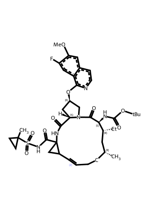 CC[C@@H]1C[C@H](C)CC/C=C\C2CC2(C(=O)NS(=O)(=O)C2(C)CC2)NC(=O)[C@@H]2C[C@@H](Oc3nccc4cc(OC)c(F)cc34)CN2C(=O)[C@H]1NC(=O)OC(C)(C)C